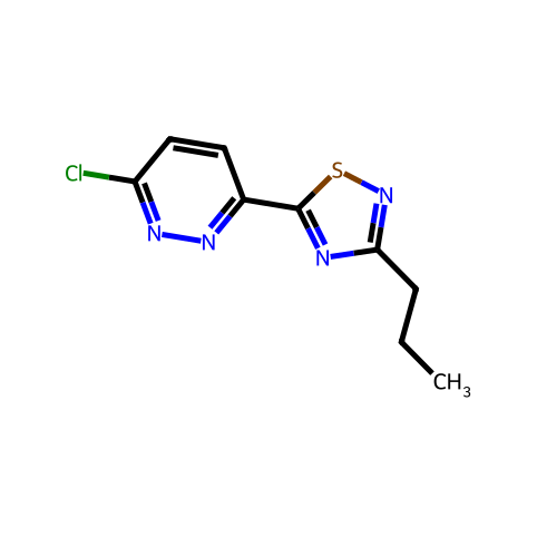 CCCc1nsc(-c2ccc(Cl)nn2)n1